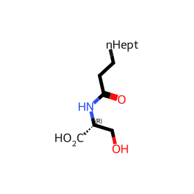 CCCCCCCCCC(=O)N[C@H](CO)C(=O)O